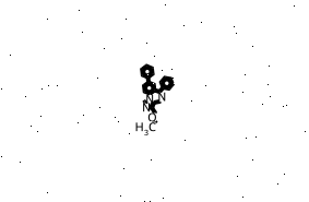 CCOCc1ncn2c1CN=C(c1ccccc1)c1cc(-c3ccccc3)ccc1-2